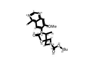 COc1cc2ncnc(C)c2cc1N1C(=O)OC2(CN(C(=O)OC(C)(C)C)C2)C1C